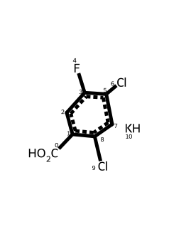 O=C(O)c1cc(F)c(Cl)cc1Cl.[KH]